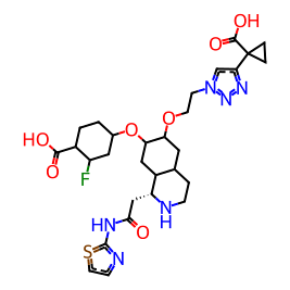 O=C(C[C@H]1NCCC2CC(OCCn3cc(C4(C(=O)O)CC4)nn3)C(OC3CCC(C(=O)O)C(F)C3)CC21)Nc1nccs1